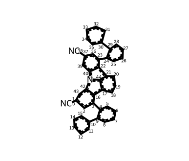 N#Cc1cc(-c2ccccc2-c2ccccc2)c2c3cccc4c5c(-c6ccccc6-c6ccccc6)cc(C#N)cc5n(c2c1)c34